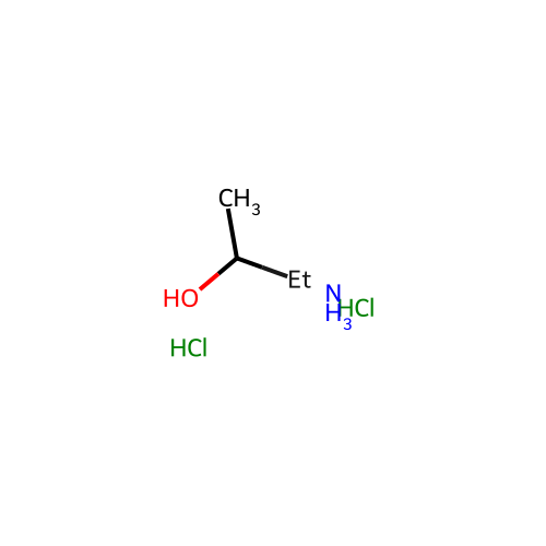 CCC(C)O.Cl.Cl.N